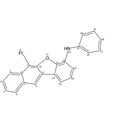 CCc1c2ccccc2cc2c1oc1c(Nc3ccccc3)cccc12